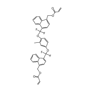 C=CC(=O)OCc1ccc(C(F)(F)Oc2ccc(OC(F)(F)c3ccc(COC(=O)C=C)c4ccccc34)c(C)c2)c2ccccc12